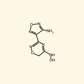 Nc1nonc1C1=NOCC(NO)=N1